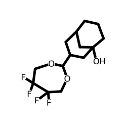 OC12CCCC(CC(C3OCC(F)(F)C(F)(F)CO3)C1)C2